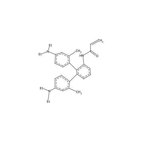 C=CC(=O)Nc1cc[c]c(-c2ccc(N(CC)CC)cc2C)c1-c1ccc(N(CC)CC)cc1C